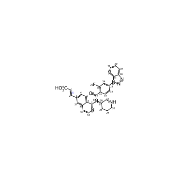 O=C(O)/C=C/c1ccc2c(N(C(=O)c3ccc(-n4nnc5cccnc54)cc3F)[C@@H]3CCCNC3)nccc2c1